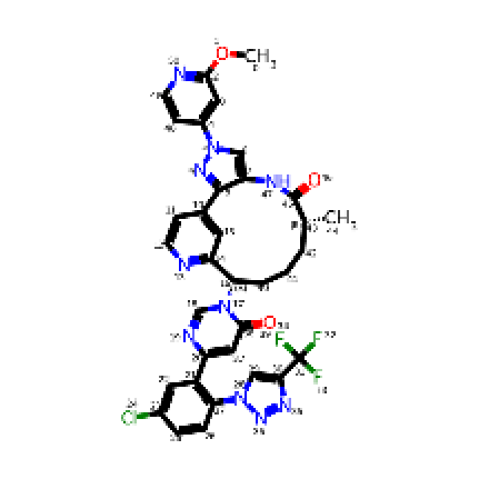 COc1cc(-n2cc3c(n2)-c2ccnc(c2)[C@@H](n2cnc(-c4cc(Cl)ccc4-n4cc(C(F)(F)F)nn4)cc2=O)CCC[C@@H](C)C(=O)N3)ccn1